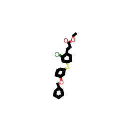 CCOC(=O)/C=C/c1ccc(Sc2cccc(OCc3ccccc3)c2)cc1Cl